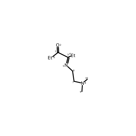 CCC(=O)C(CC)=NCCN(C)C